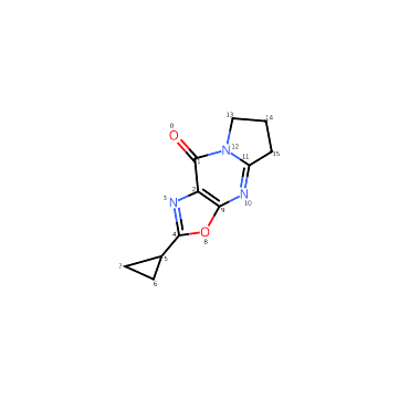 O=c1c2nc(C3CC3)oc2nc2n1CCC2